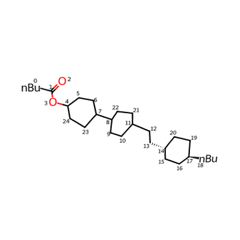 CCCCC(=O)OC1CCC(C2CCC(CC[C@H]3CC[C@H](CCCC)CC3)CC2)CC1